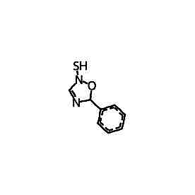 SN1C=NC(c2ccccc2)O1